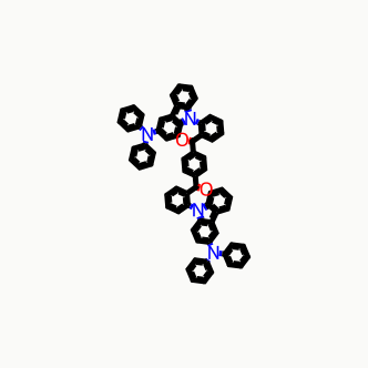 O=C(c1ccc(C(=O)c2ccccc2-n2c3ccccc3c3cc(N(c4ccccc4)c4ccccc4)ccc32)cc1)c1ccccc1-n1c2ccccc2c2cc(N(c3ccccc3)c3ccccc3)ccc21